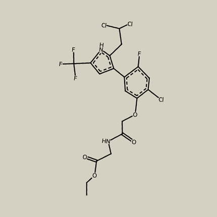 CCOC(=O)CNC(=O)COc1cc(-c2cc(C(F)(F)F)[nH]c2CC(Cl)Cl)c(F)cc1Cl